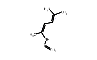 C=IN/C(C)=C\C=C(\C)N